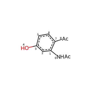 CC(=O)Nc1cc(O)ccc1C(C)=O